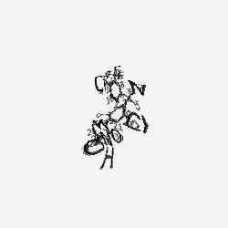 Cc1cc(C(C)(C#N)c2ccc(Cl)c(C(F)(F)F)c2)c(Cl)cc1-n1ncc(=O)[nH]c1=O